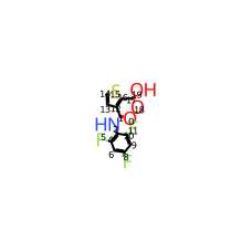 O=C(Nc1c(F)cc(F)cc1F)c1ccsc1C(=O)O